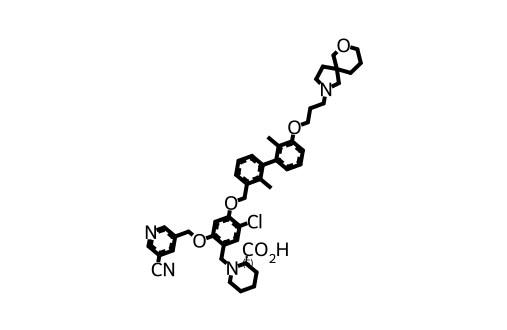 Cc1c(COc2cc(OCc3cncc(C#N)c3)c(CN3CCCC[C@H]3C(=O)O)cc2Cl)cccc1-c1cccc(OCCCN2CCC3(CCCOC3)C2)c1C